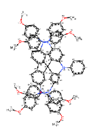 COc1ccc(N(c2ccc(OC)cc2)c2ccc3c(c2)C2(c4cc(N(c5ccc(OC)cc5)c5ccc(OC)cc5)ccc4-3)c3cc(N(c4ccc(OC)cc4)c4ccc(OC)cc4)ccc3N(c3ccccc3)c3ccc(N(c4ccc(OC)cc4)c4ccc(OC)cc4)cc32)cc1